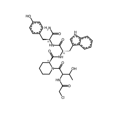 CC(O)C(NC(=O)CCl)C(=O)N1CCCC[C@H]1C(=O)N[C@@H](Cc1c[nH]c2ccccc12)C(=O)N[C@@H](Cc1ccc(O)cc1)C(N)=O